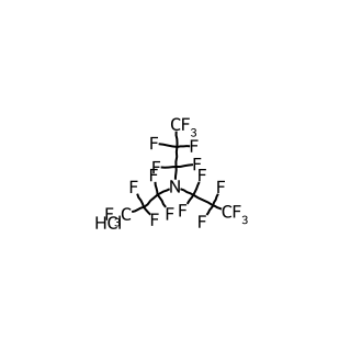 Cl.FC(F)(F)C(F)(F)C(F)(F)N(C(F)(F)C(F)(F)C(F)(F)F)C(F)(F)C(F)(F)C(F)(F)F